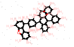 Bc1c(B)c(B)c(-c2c(B)c(B)c(B)c(B)c2-c2c3c(B)c(B)c(B)c(B)c3c(-c3c(B)c(B)c(-c4c(B)c(B)c(B)c5oc6c(B)c(B)c(B)c(B)c6c45)c(B)c3B)c3c(B)c(B)c(B)c(B)c23)c(B)c1B